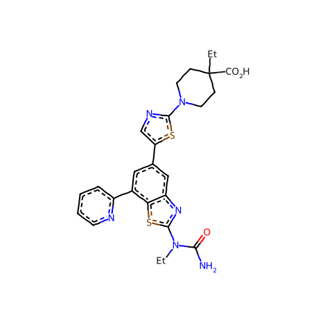 CCN(C(N)=O)c1nc2cc(-c3cnc(N4CCC(CC)(C(=O)O)CC4)s3)cc(-c3ccccn3)c2s1